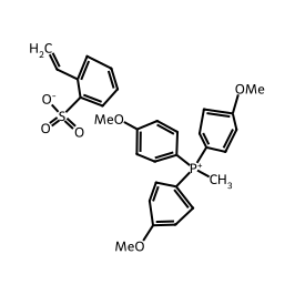 C=Cc1ccccc1S(=O)(=O)[O-].COc1ccc([P+](C)(c2ccc(OC)cc2)c2ccc(OC)cc2)cc1